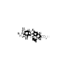 [2H]c1c(C(=O)O)c(=O)c2cc(F)c(N3C[C@@H]4CC(C)C(C)(C)N[C@@H]4[C@H]3C)c(OCC)c2n1C1CC1